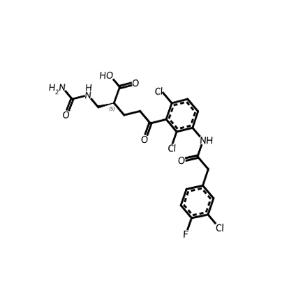 NC(=O)NC[C@H](CCC(=O)c1c(Cl)ccc(NC(=O)Cc2ccc(F)c(Cl)c2)c1Cl)C(=O)O